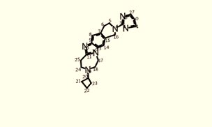 c1cnc(N2CCc3cc4nc5n(c4cc3C2)CCN(C2CCC2)CC5)nc1